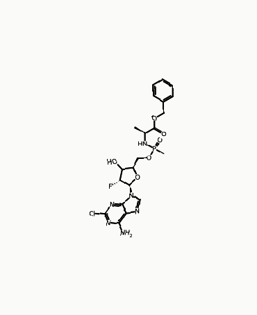 C[C@H](NP(C)(=O)OC[C@H]1O[C@@H](n2cnc3c(N)nc(Cl)nc32)[C@H](F)C1O)C(=O)OCc1ccccc1